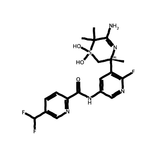 CC1(C)C(N)=N[C@](C)(c2cc(NC(=O)c3ccc(C(F)F)cn3)cnc2F)CS1(O)O